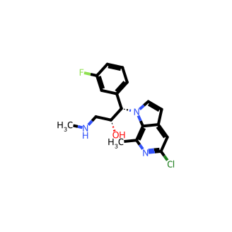 CNC[C@@H](O)[C@H](c1cccc(F)c1)n1ccc2cc(Cl)nc(C)c21